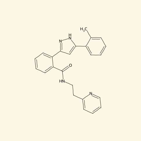 Cc1ccccc1-c1cc(-c2ccccc2C(=O)NCCc2ccccn2)n[nH]1